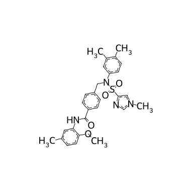 COc1ccc(C)cc1NC(=O)c1ccc(CN(c2ccc(C)c(C)c2)S(=O)(=O)c2cn(C)cn2)cc1